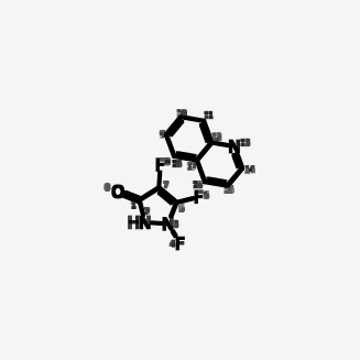 O=c1[nH]n(F)c(F)c1F.c1ccc2ncccc2c1